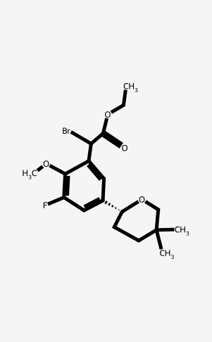 CCOC(=O)C(Br)c1cc([C@H]2CCC(C)(C)CO2)cc(F)c1OC